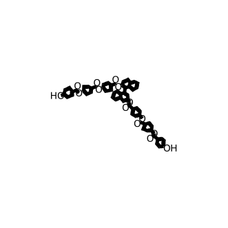 O=C(Oc1ccc(C(=O)Oc2ccc(C(=O)Oc3cc(-c4c(OC(=O)c5ccc(OC(=O)c6ccc(OC(=O)c7ccc(O)cc7)cc6)cc5)ccc5ccccc45)c4ccccc4c3)cc2)cc1)c1ccc(O)cc1